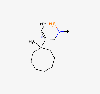 CCC/C=C(\CN(P)CC)C1(C)CCCCCCC1